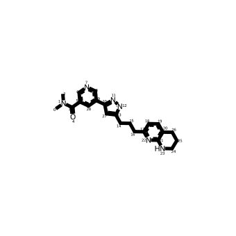 CN(C)C(=O)c1cncc(C2=N[N]C(CCCc3ccc4c(n3)NCCC4)=C2)c1